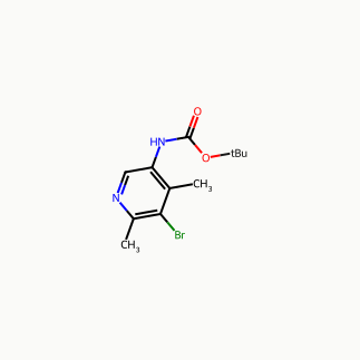 Cc1ncc(NC(=O)OC(C)(C)C)c(C)c1Br